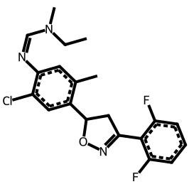 CCN(C)/C=N\c1cc(C)c(C2CC(c3c(F)cccc3F)=NO2)cc1Cl